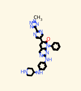 Cn1nnc(-c2ncc(-c3cc4cnc(Nc5ccc(NC6CCNCC6)cc5)nc4n(-c4ccccc4)c3=O)cn2)n1